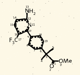 COC(=O)C(C)(C)c1ccc(-c2nc(N)ccc2C(F)(F)F)cc1